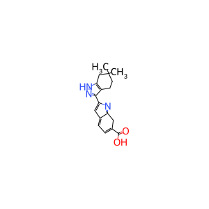 CC1(C)CCc2c(C3=CC4=CC=C(C(=O)O)CC4=N3)n[nH]c2C1